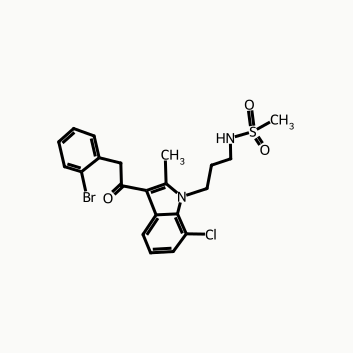 Cc1c(C(=O)Cc2ccccc2Br)c2cccc(Cl)c2n1CCCNS(C)(=O)=O